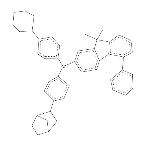 CC1(C)c2cc(N(c3ccc(C4CCCCC4)cc3)c3ccc(C4CC5CCC4C5)cc3)ccc2-c2c(-c3ccccc3)cccc21